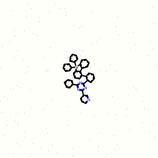 c1ccc(-c2nc(-c3cccnc3)nc(-c3ccccc3-c3cccc4c3-c3ccccc3[Si]4(c3ccccc3)c3ccccc3)n2)cc1